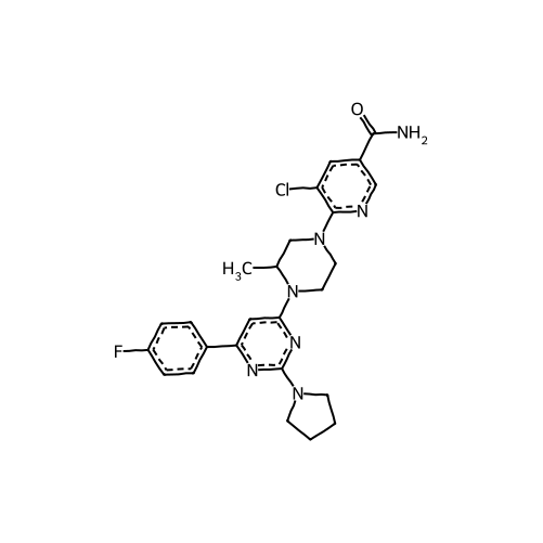 CC1CN(c2ncc(C(N)=O)cc2Cl)CCN1c1cc(-c2ccc(F)cc2)nc(N2CCCC2)n1